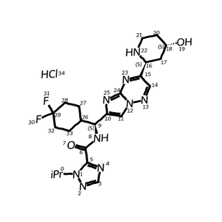 CC(C)n1ncnc1C(=O)N[C@H](c1cn2ncc([C@@H]3C[C@@H](O)CCN3)nc2n1)C1CCC(F)(F)CC1.Cl